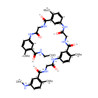 COc1ccc(NC(=O)CNC(=O)c2cc(NC(=O)CNC(=O)c3cc(NC(=O)CNC(=O)c4cc(NC=O)ccc4OC)ccc3OC)ccc2OC)cc1C(=O)NCC=O